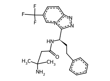 CC(C)(N)CC(=O)N[C@H](CCc1ccccc1)c1nnc2ccc(C(F)(F)F)cn12